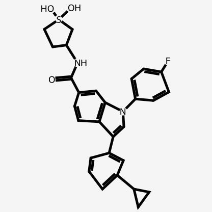 O=C(NC1CCS(O)(O)C1)c1ccc2c(-c3cccc(C4CC4)c3)cn(-c3ccc(F)cc3)c2c1